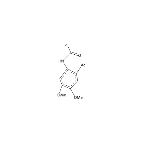 COc1cc(NC(=O)C(C)C)c(C(C)=O)cc1OC